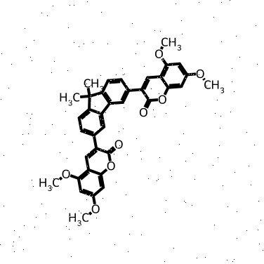 COc1cc(OC)c2cc(-c3ccc4c(c3)-c3cc(-c5cc6c(OC)cc(OC)cc6oc5=O)ccc3C4(C)C)c(=O)oc2c1